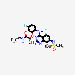 C[C@@H](Oc1cc(F)ccc1Nc1ncnc2cc(N=S(C)(=O)C(C)(C)C)cc(F)c12)C(=O)NCC(F)(F)F